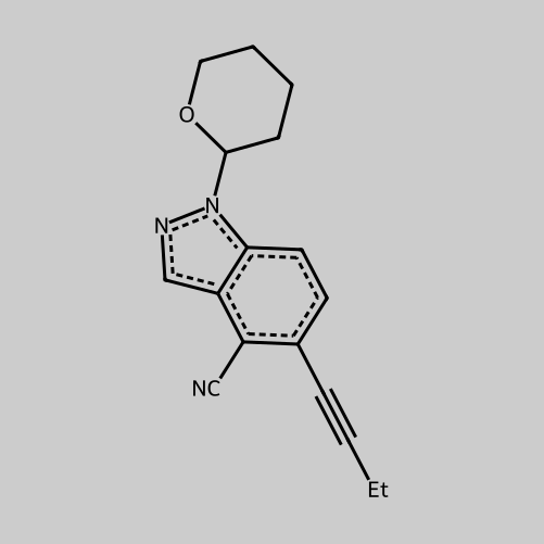 CCC#Cc1ccc2c(cnn2C2CCCCO2)c1C#N